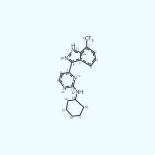 FC(F)(F)c1cccc2c(-c3ccnc(NC4CCCCC4)n3)n[nH]c12